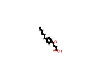 CCCCCCc1ccc(C(=O)/C=C/C(=O)O)cc1